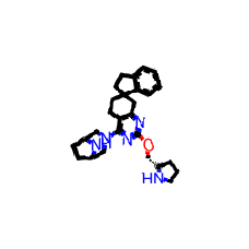 c1ccc2c(c1)CCC21CCc2c(nc(OC[C@@H]3CCCN3)nc2N2CC3CCC(C2)N3)C1